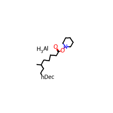 CCCCCCCCCCCCC(C)CCCCC(=O)ON1CCCCC1.[AlH3]